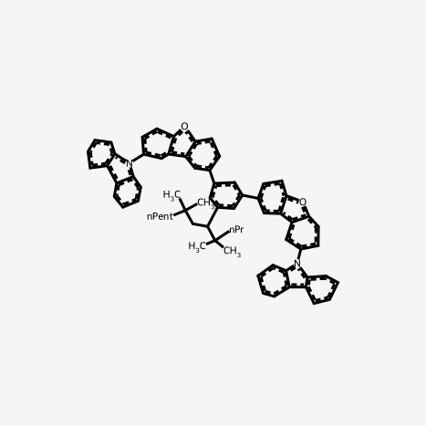 CCCCCC(C)(C)CC(c1cc(-c2ccc3oc4ccc(-n5c6ccccc6c6ccccc65)cc4c3c2)cc(-c2ccc3oc4ccc(-n5c6ccccc6c6ccccc65)cc4c3c2)c1)C(C)(C)CCC